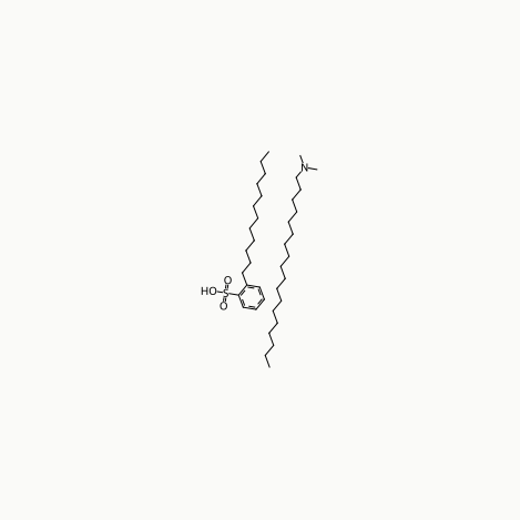 CCCCCCCCCCCCCCCCCCN(C)C.CCCCCCCCCCCCc1ccccc1S(=O)(=O)O